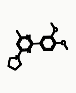 COc1ccc(-c2nc(C)cc(N3CCCC3)n2)cc1OC